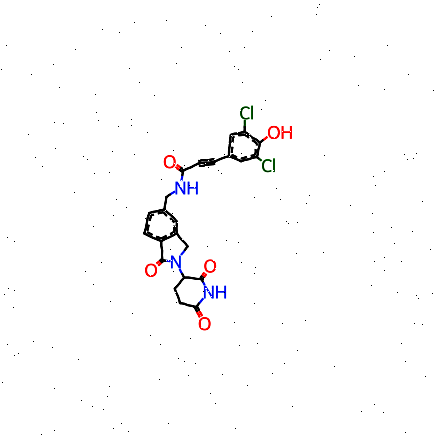 O=C(C#Cc1cc(Cl)c(O)c(Cl)c1)NCc1ccc2c(c1)CN(C1CCC(=O)NC1=O)C2=O